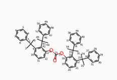 CC(C)(c1ccccc1)c1cccc(OC(=O)Oc2cccc(C(C)(C)c3ccccc3)c2C(C)(C)c2ccccc2)c1C(C)(C)c1ccccc1